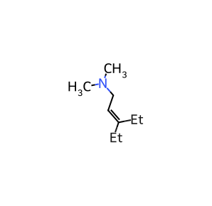 CCC(=CCN(C)C)CC